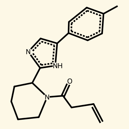 C=CCC(=O)N1CCCCC1c1ncc(-c2ccc(C)cc2)[nH]1